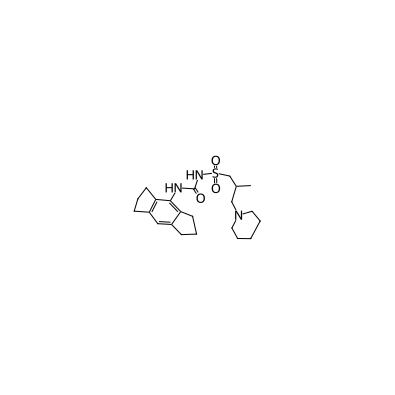 CC(CN1CCCCC1)CS(=O)(=O)NC(=O)Nc1c2c(cc3c1CCC3)CCC2